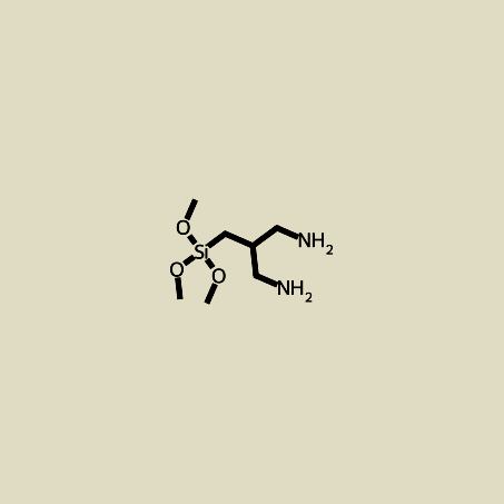 CO[Si](CC(CN)CN)(OC)OC